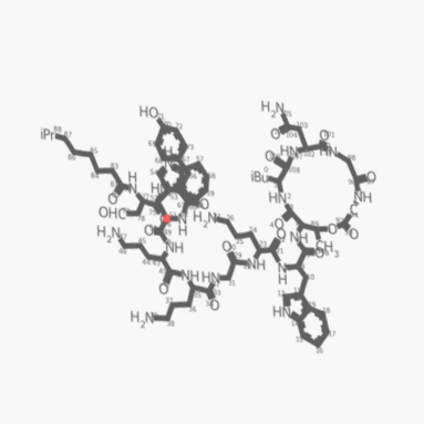 CCC(C)C1NC(=O)C(NC(=O)C(Cc2c[nH]c3ccccc23)NC(=O)C(CCCN)NC(=O)CNC(=O)C(CCCN)NC(=O)C(CCCN)NC(=O)C(Cc2c[nH]c3ccccc23)NC(=O)C(Cc2ccc(O)cc2)NC(=O)C(CC=O)NC(=O)CCCCCC(C)C)C(C)OC(=O)CNC(=O)CNC(=O)C(CC(N)=O)NC1=O